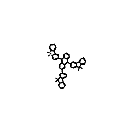 CC1(C)c2ccccc2-c2cc(-c3c4ccccc4c(-c4ccc5c(c4)-c4ccccc4[Si]5(C)C)c4ccc(-c5ccc6c(c5)C(C)(C)c5ccccc5-6)cc34)ccc21